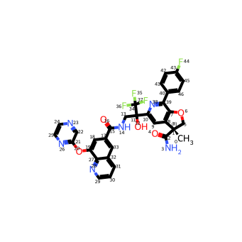 C[C@]1(C(N)=O)COc2c1cc(C(O)(CNC(=O)c1cc(Oc3cnccn3)c3ncccc3c1)C(F)(F)F)nc2-c1ccc(F)cc1